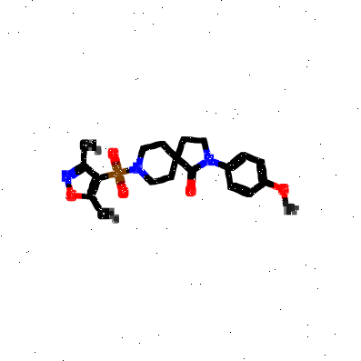 Cc1noc(C)c1S(=O)(=O)N1CCC2(CCN(c3ccc(OC(C)C)cc3)C2=O)CC1